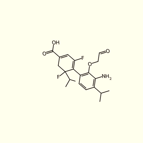 CC(C)c1ccc(C2=C(F)C=C(C(=O)O)CC2(F)C(C)C)c(OCC=O)c1N